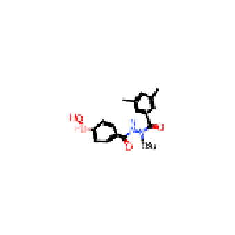 Cc1cc(C)cc(C(=O)N(NC(=O)c2ccc(BO)cc2)C(C)(C)C)c1